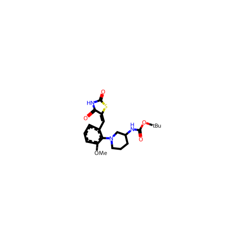 COc1cccc(/C=C2/SC(=O)NC2=O)c1N1CCCC(NC(=O)OC(C)(C)C)C1